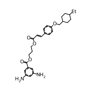 CCC1CCC(COc2ccc(C=CC(=O)OCCCOC(=O)c3cc(N)cc(N)c3)cc2)CC1